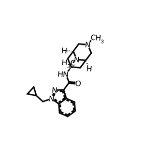 CN1C[C@H]2C[C@@H](NC(=O)c3nn(CC4CC4)c4ccccc34)C[C@@H](C1)N2C